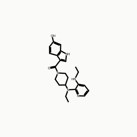 CCNc1cccnc1N(CC)C1CCN(C(=O)c2c[nH]c3cc(O)ccc23)CC1